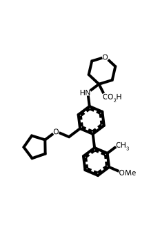 COc1cccc(-c2ccc(NC3(C(=O)O)CCOCC3)cc2COC2CCCC2)c1C